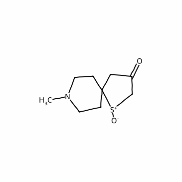 CN1CCC2(CC1)CC(=O)C[S+]2[O-]